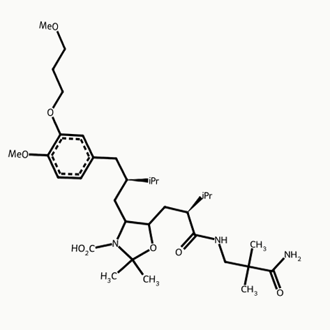 COCCCOc1cc(C[C@H](CC2C(C[C@H](C(=O)NCC(C)(C)C(N)=O)C(C)C)OC(C)(C)N2C(=O)O)C(C)C)ccc1OC